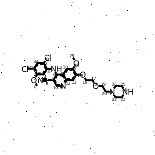 COc1cc(Nc2c(C#N)cnc3cc(OCCOCCN4CCNCC4)c(OC)cc23)c(Cl)cc1Cl